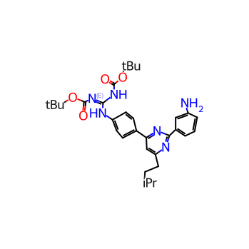 CC(C)CCc1cc(-c2ccc(N/C(=N\C(=O)OC(C)(C)C)NC(=O)OC(C)(C)C)cc2)nc(-c2cccc(N)c2)n1